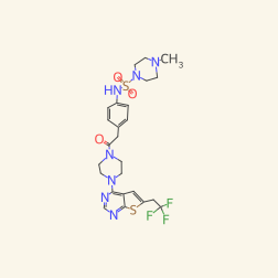 CN1CCN(S(=O)(=O)Nc2ccc(CC(=O)N3CCN(c4ncnc5sc(CC(F)(F)F)cc45)CC3)cc2)CC1